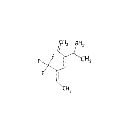 BC(C)/C(C=C)=C/C(=C\C)C(F)(F)F